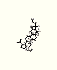 C=C(C)[C@@H]1CC[C@]2(C(=O)O)CC[C@]3(C)C(CCC4[C@@]5(C)CC[C@@](C)(C(CC)(CC)CCO)C(C)(C)C5CC[C@]43C)C12